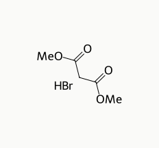 Br.COC(=O)CC(=O)OC